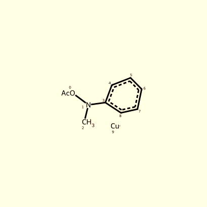 CC(=O)ON(C)c1ccccc1.[Cu]